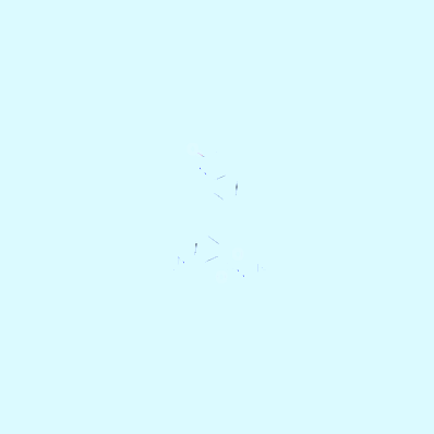 CC(C)(C)NS(=O)(=O)c1cc(N)cc(CCc2cccc(NC(=O)I)c2)c1